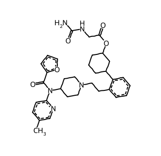 Cc1ccc(N(C(=O)c2ccco2)C2CCN(CCc3ccccc3C3CCCC(OC(=O)CNC(N)=O)C3)CC2)nc1